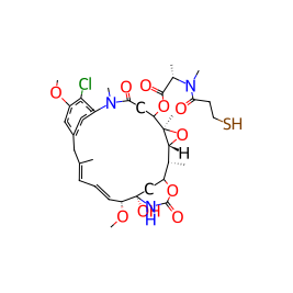 COc1cc2cc(c1Cl)N(C)C(=O)CC(OC(=O)[C@H](C)N(C)C(=O)CCS)[C@@]1(C)O[C@@H]1[C@H](C)C1C[C@@](O)(NC(=O)O1)[C@H](OC)/C=C/C=C(\C)C2